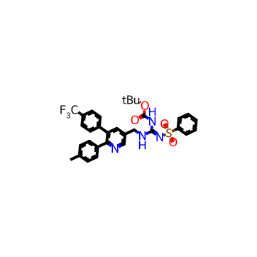 Cc1ccc(-c2ncc(CN/C(=N/S(=O)(=O)c3ccccc3)NC(=O)OC(C)(C)C)cc2-c2ccc(C(F)(F)F)cc2)cc1